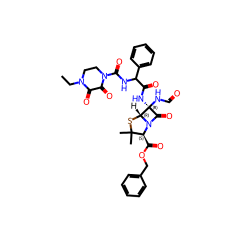 CCN1CCN(C(=O)NC(C(=O)N[C@]2(NC=O)C(=O)N3[C@@H](C(=O)OCc4ccccc4)C(C)(C)S[C@@H]32)c2ccccc2)C(=O)C1=O